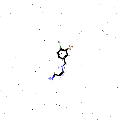 N=C/C=C\NCc1ccc(F)c(S)c1